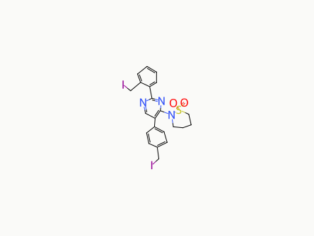 O=S1(=O)CCCCN1c1nc(-c2ccccc2CI)ncc1-c1ccc(CI)cc1